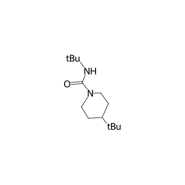 CC(C)(C)NC(=O)N1CCC(C(C)(C)C)CC1